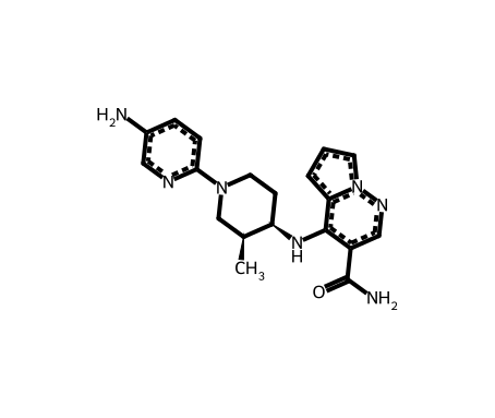 C[C@H]1CN(c2ccc(N)cn2)CC[C@H]1Nc1c(C(N)=O)cnn2cccc12